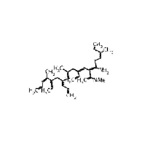 C=C/C=C(\C=C(/C)C/C(C=C)=C/C(C(=C)NC)=C(/N)C/C=C(/C)C=C)CC(=C/C)/C(C)=C\C=C